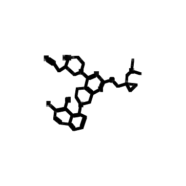 CN(C)CC1(COc2nc3c(c(N4CCNC(CC#N)C4)n2)CCN(c2cccc4ccc(F)c(Cl)c24)C3)CC1